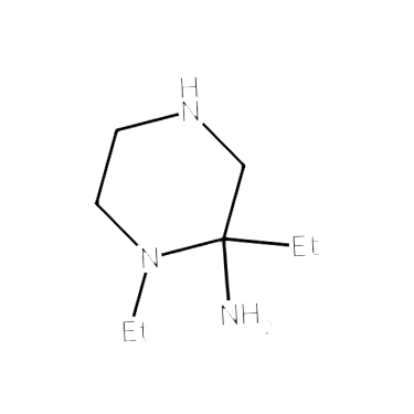 CCN1CCNCC1(N)CC